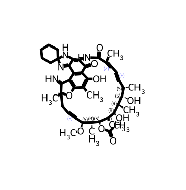 CO[C@H]1/C=C/C[C@@]2(C)Oc3c(C)c(O)c4c(c3C2=N)C2=NC3(CCCCC3)NC2=C(NC(=O)/C(C)=C\C=C\[C@H](C)[C@H](O)[C@@H](C)[C@@H](O)[C@@H](C)[C@H](OC(C)=O)[C@@H]1C)C4=O